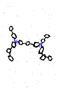 c1ccc(-c2ccc(N(c3ccc(-c4ccc(-c5ccc(N(c6ccc(-c7ccccc7)cc6)c6ccc(-c7cccc(-c8ccccc8)c7)cc6)cc5)cc4)cc3)c3ccc(-c4cccc(-c5ccccc5)c4)cc3)cc2)cc1